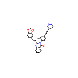 Cc1cc(C#Cc2cccnc2)ccc1-n1c(/C=C/c2ccc3c(c2)OCO3)nc2ccccc2c1=O